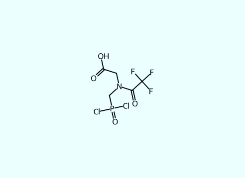 O=C(O)CN(CP(=O)(Cl)Cl)C(=O)C(F)(F)F